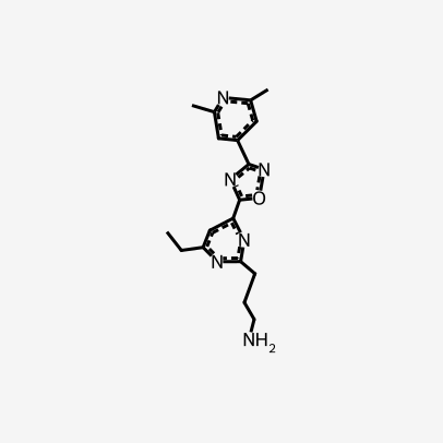 CCc1cc(-c2nc(-c3cc(C)nc(C)c3)no2)nc(CCCN)n1